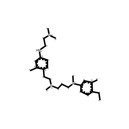 CCc1ccc(N(C)CCCN(C)CCc2ccc(NCCN(C)C)cc2C)cc1C